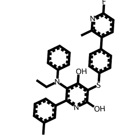 CCN(c1ccccc1)c1c(-c2cccc(C)c2)nc(O)c(Sc2ccc(-c3ccc(F)nc3C)cc2)c1O